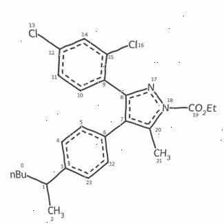 CCCCC(C)c1ccc(-c2c(-c3ccc(Cl)cc3Cl)nn(C(=O)OCC)c2C)cc1